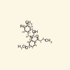 CCCC(=O)c1ccc(OC)cc1N(CO)Cc1ccc(C)c(F)c1